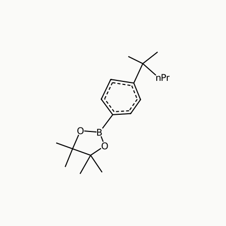 CCCC(C)(C)c1ccc(B2OC(C)(C)C(C)(C)O2)cc1